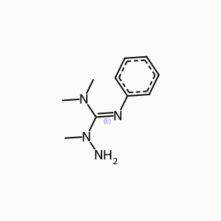 CN(C)/C(=N\c1ccccc1)N(C)N